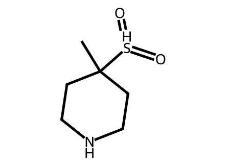 CC1([SH](=O)=O)CCNCC1